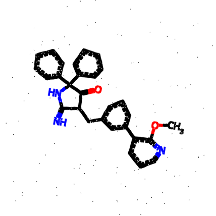 COc1ncccc1-c1cccc(CC2C(=N)NC(c3ccccc3)(c3ccccc3)C2=O)c1